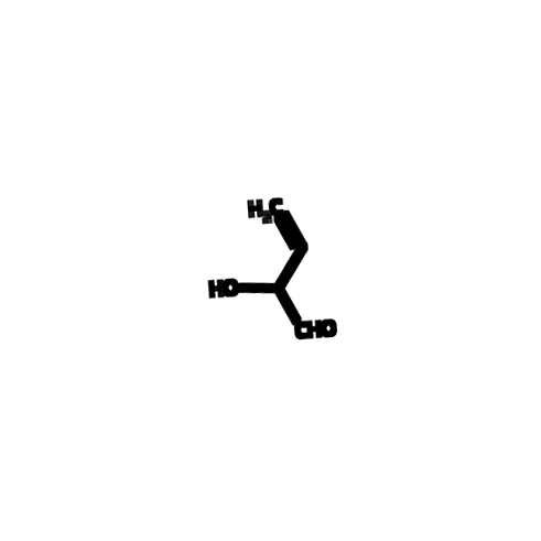 C=CC(O)C=O